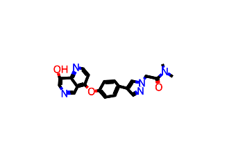 CN(C)C(=O)Cn1cc(-c2ccc(Oc3ccnc4c(O)cncc34)cc2)cn1